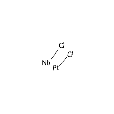 [Cl][Nb].[Cl][Pt]